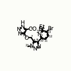 CCOC(=O)c1[nH]nnc1OCc1c(-c2ccc(Br)c(CC)n2)nnn1C